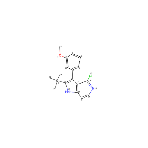 COc1cccc(-c2c([Si](C)(C)C)[nH]c3ccnc(Cl)c23)c1